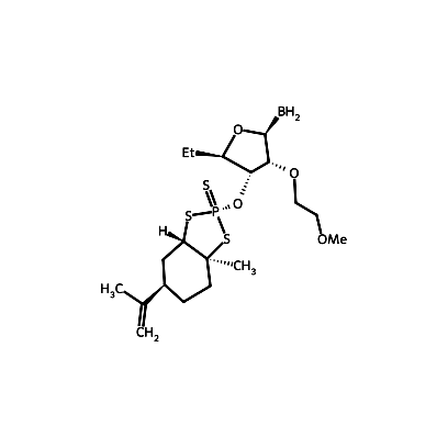 B[C@@H]1O[C@H](CC)[C@@H](O[P@@]2(=S)S[C@H]3C[C@H](C(=C)C)CC[C@]3(C)S2)[C@H]1OCCOC